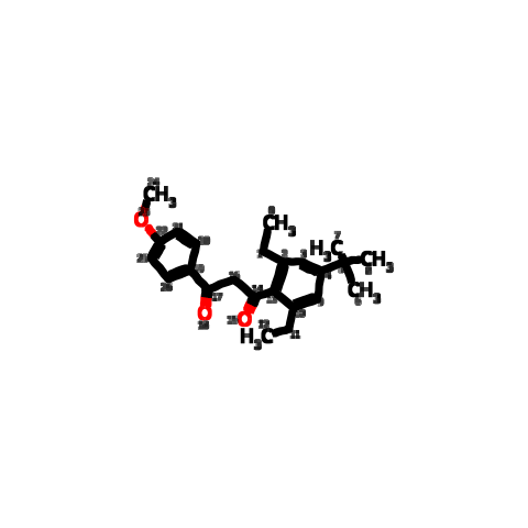 CCc1cc(C(C)(C)C)cc(CC)c1C(=O)CC(=O)c1ccc(OC)cc1